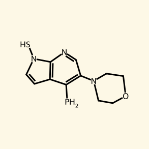 Pc1c(N2CCOCC2)cnc2c1ccn2S